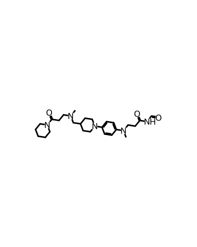 CN(CCC(=O)N1CCCCC1)CC1CCN(c2ccc(N(C)CCC(=O)NC=O)cc2)CC1